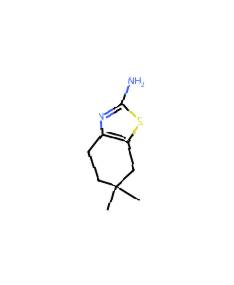 CC1(C)CCc2nc(N)sc2C1